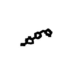 SC1=NN=C(c2ccc(Cn3ccnc3)cc2)CC1